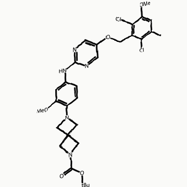 COc1cc(Nc2ncc(OCc3c(Cl)c(C)cc(OC)c3Cl)cn2)ccc1N1CC2(CN(C(=O)OC(C)(C)C)C2)C1